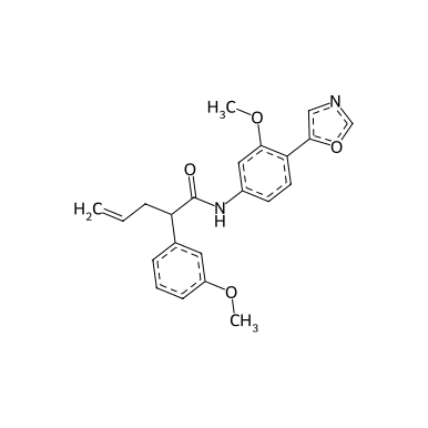 C=CCC(C(=O)Nc1ccc(-c2cnco2)c(OC)c1)c1cccc(OC)c1